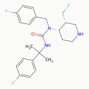 CC(C)(NC(=O)N(Cc1ccc(F)cc1)[C@H]1CCNC[C@H]1CF)c1ccc(F)cc1